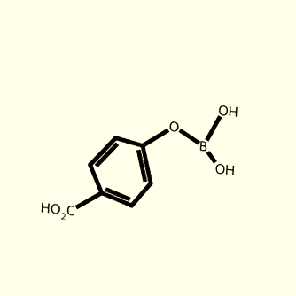 O=C(O)c1ccc(OB(O)O)cc1